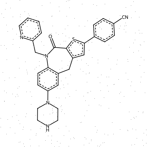 N#Cc1ccc(-c2cc3c(s2)C(=O)N(Cc2ccccn2)c2ccc(N4CCNCC4)cc2C3)cc1